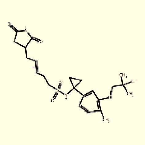 Cc1ccc(C2(NS(=O)(=O)CC/C=C/CC3CC(=O)NC3=O)CC2)cc1OCC(C)(C)O